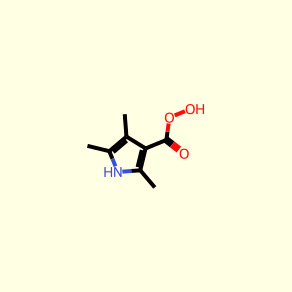 Cc1[nH]c(C)c(C(=O)OO)c1C